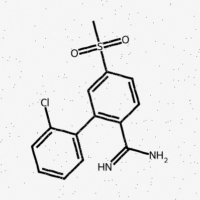 CS(=O)(=O)c1ccc(C(=N)N)c(-c2ccccc2Cl)c1